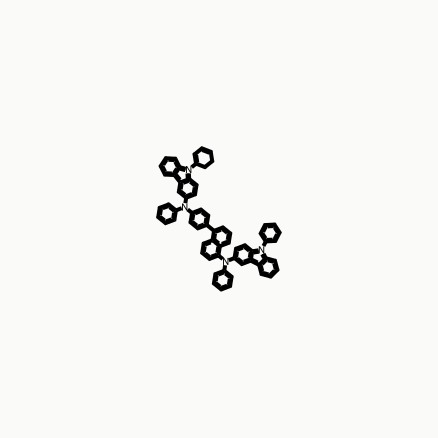 C1=CCCC(n2c3ccccc3c3cc(N(c4ccccc4)c4ccc(-c5cccc6c(N(c7ccccc7)c7ccc8c(c7)c7ccccc7n8-c7ccccc7)cccc56)cc4)ccc32)=C1